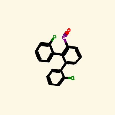 O=Pc1cccc(-c2ccccc2Cl)c1-c1ccccc1Cl